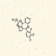 Nc1nc2c3c(ccn3n1)C(c1ccc(F)c(F)c1F)=Nc1ccccc1-2